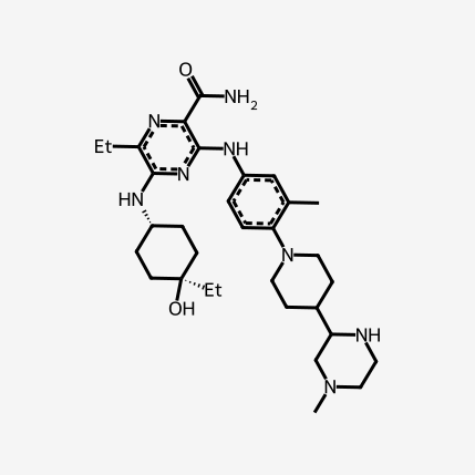 CCc1nc(C(N)=O)c(Nc2ccc(N3CCC(C4CN(C)CCN4)CC3)c(C)c2)nc1N[C@H]1CC[C@@](O)(CC)CC1